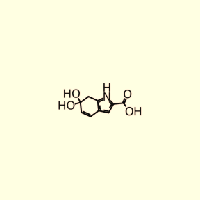 O=C(O)c1cc2c([nH]1)CC(O)(O)C=C2